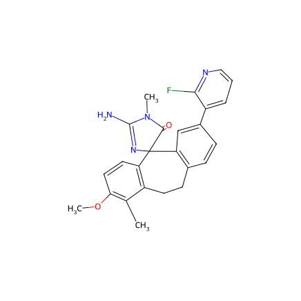 COc1ccc2c(c1C)CCc1ccc(-c3cccnc3F)cc1C21N=C(N)N(C)C1=O